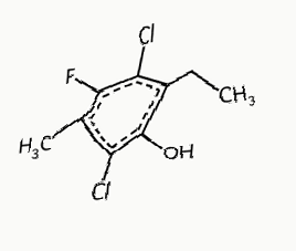 CCc1c(O)c(Cl)c(C)c(F)c1Cl